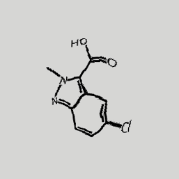 Cn1nc2ccc(Cl)cc2c1C(=O)O